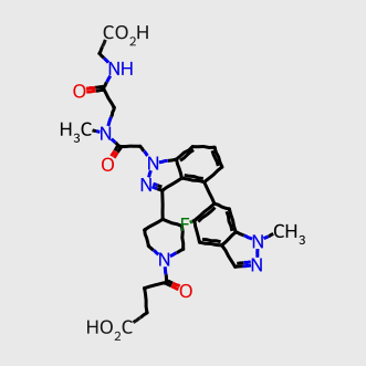 CN(CC(=O)NCC(=O)O)C(=O)Cn1nc(C2CCN(C(=O)CCC(=O)O)CC2)c2c(-c3cc4c(cnn4C)cc3F)cccc21